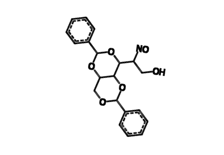 O=NC(CO)C1OC(c2ccccc2)OC2COC(c3ccccc3)OC21